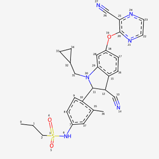 CCCS(=O)(=O)Nc1ccc(C2C(C#N)c3ccc(Oc4nccnc4C#N)cc3N2CC2CC2)c(C)c1